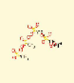 O.O=S(=O)([O-])C(F)(F)F.O=S(=O)([O-])C(F)(F)F.O=S(=O)([O-])C(F)(F)F.O=S(=O)([O-])C(F)(F)F.[Hf+4]